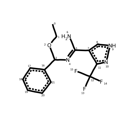 CCOC(N=C(N)c1c[nH]nc1C(F)(F)F)c1ccccc1